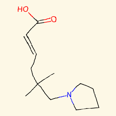 CC(C)(CC=CC(=O)O)CN1CCCC1